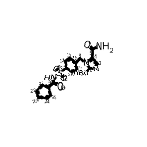 CCCCc1ncc(C(N)=O)n1Cc1ccc(S(=O)(=O)NC(=O)c2ccccc2)cc1